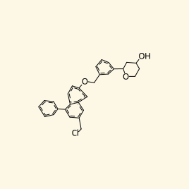 OC1CCOC(c2cccc(COc3ccc4c(-c5ccccc5)cc(CCl)cc4c3)c2)C1